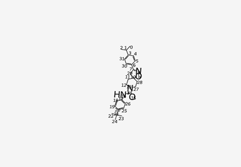 CC(C)c1ccc(C2=NOC3(CCN(C(=O)Nc4ccc(C(C)(C)C)cc4)CC3)C2)cc1